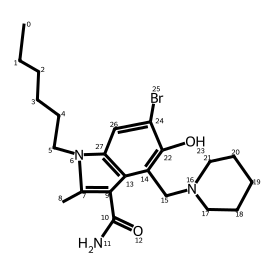 CCCCCCn1c(C)c(C(N)=O)c2c(CN3CCCCC3)c(O)c(Br)cc21